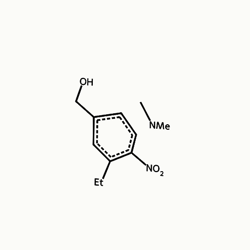 CCc1cc(CO)ccc1[N+](=O)[O-].CNC